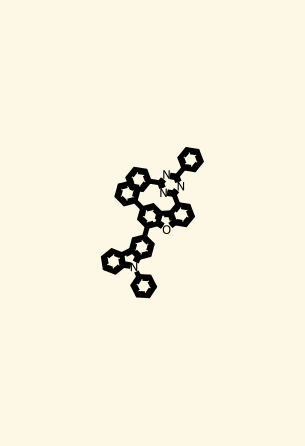 c1ccc(-c2cc(-c3ccc4c(c3)c3ccccc3n4-c3ccccc3)c3oc4cccc(-c5nc(-c6ccccc6)nc(-c6ccccc6)n5)c4c3c2)cc1